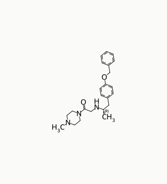 C[C@H](Cc1ccc(OCc2ccccc2)cc1)NCC(=O)N1CCN(C)CC1